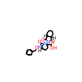 O=C1N(OCc2ccccc2)[C@@H]2CC[C@](C(=O)O)(N3C(=O)[C@H]4CCCC[C@H]4C3=O)N1C2